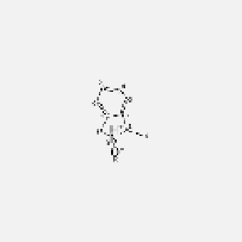 CC1c2ccccc2C[NH+]1[O-]